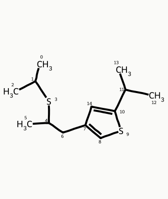 CC(C)SC(C)Cc1csc(C(C)C)c1